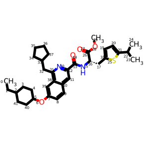 CCC1CCC(Oc2ccc3cc(C(=O)N[C@@H](Cc4ccc(C(C)C)s4)C(=O)OC)nc(CC4CCCC4)c3c2)CC1